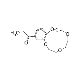 CCC(=O)c1ccc2c(c1)OCCOCCOCCO2